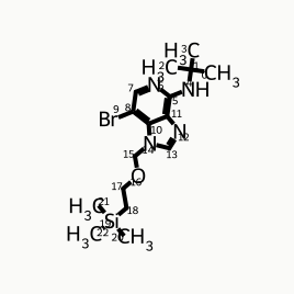 CC(C)(C)Nc1ncc(Br)c2c1ncn2COCC[Si](C)(C)C